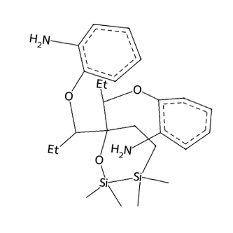 CCC(Oc1ccccc1N)C1(C(CC)Oc2ccccc2N)CC[Si](C)(C)[Si](C)(C)O1